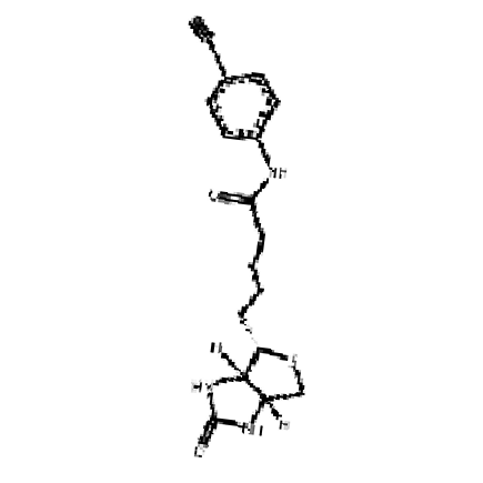 C#Cc1ccc(NC(=O)CCCC[C@@H]2SC[C@@H]3NC(=O)N[C@@H]32)cc1